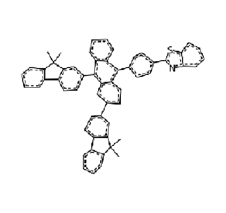 CC1(C)c2ccccc2-c2ccc(-c3ccc4c(-c5ccc(-c6nc7ccccc7s6)cc5)c5ccccc5c(-c5ccc6c(c5)C(C)(C)c5ccccc5-6)c4c3)cc21